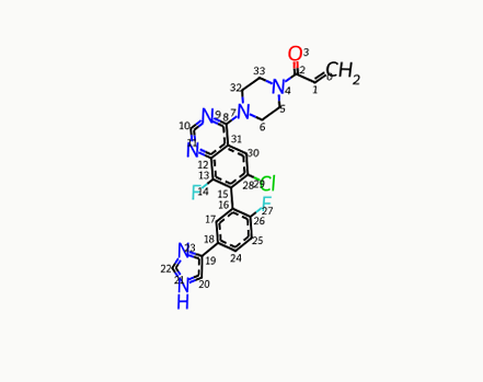 C=CC(=O)N1CCN(c2ncnc3c(F)c(-c4cc(-c5c[nH]cn5)ccc4F)c(Cl)cc23)CC1